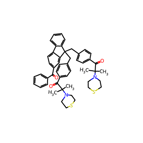 CC(C)(C(=O)c1ccc(CC2(Cc3ccc(C(=O)C(C)(C)N4CCSCC4)cc3)c3ccccc3-c3ccc(C(=O)c4ccccc4)cc32)cc1)N1CCSCC1